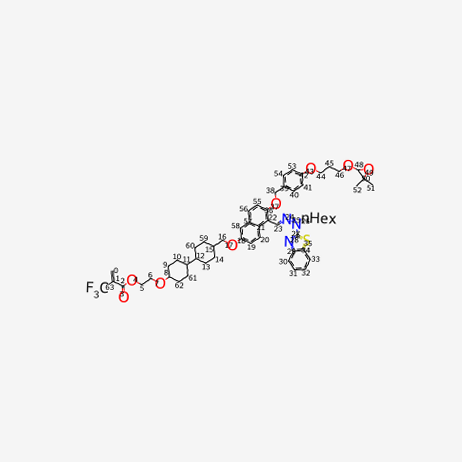 C=C(C(=O)OCCOC1CCC(C2CCC(COc3ccc4c(/C=N/N(CCCCCC)c5nc6ccccc6s5)c(OCc5ccc(OCCCOC6OC6(C)C)cc5)ccc4c3)CC2)CC1)C(F)(F)F